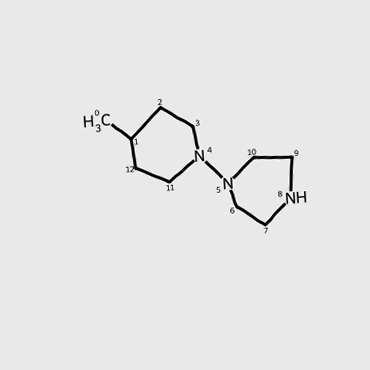 CC1CCN(N2CCNCC2)CC1